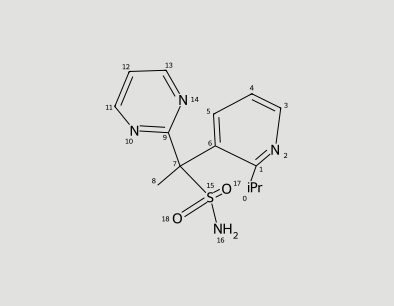 CC(C)c1ncccc1C(C)(c1ncccn1)S(N)(=O)=O